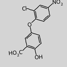 O=C(O)c1cc(Oc2ccc([N+](=O)[O-])cc2Cl)ccc1O